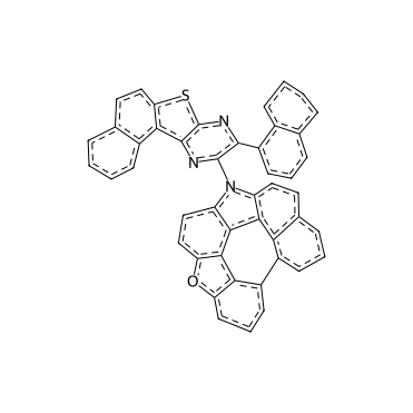 c1ccc2c(-c3nc4sc5ccc6ccccc6c5c4nc3-n3c4ccc5cccc6c5c4c4c5c(ccc43)oc3cccc-6c35)cccc2c1